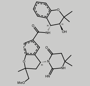 COCC1(C)C[C@@H](N2C(=N)NC(C)(C)CC2=O)c2cc(C(=O)N[C@@H]3c4ccccc4OC(C)(C)[C@H]3O)ccc2O1